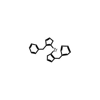 C1=CC(Cc2ccccc2)=[C]([Zr][C]2=C(Cc3ccccc3)C=CC2)C1